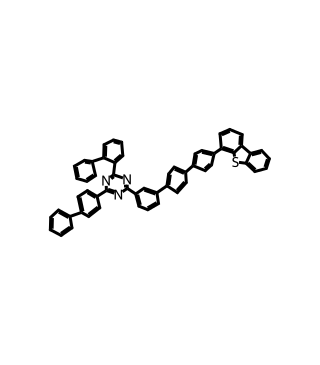 c1ccc(-c2ccc(-c3nc(-c4cccc(-c5ccc(-c6ccc(-c7cccc8c7sc7ccccc78)cc6)cc5)c4)nc(-c4ccccc4-c4ccccc4)n3)cc2)cc1